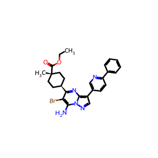 CCOC(=O)[C@]1(C)CC[C@@H](c2nc3c(-c4ccc(-c5ccccc5)nc4)cnn3c(N)c2Br)CC1